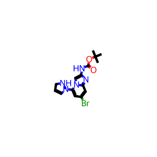 CC(C)(C)OC(=O)Nc1cn2c(N3C=CCN3)cc(Br)cc2n1